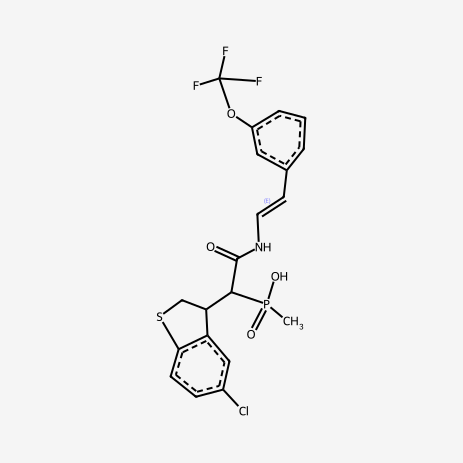 CP(=O)(O)C(C(=O)N/C=C/c1cccc(OC(F)(F)F)c1)C1CSc2ccc(Cl)cc21